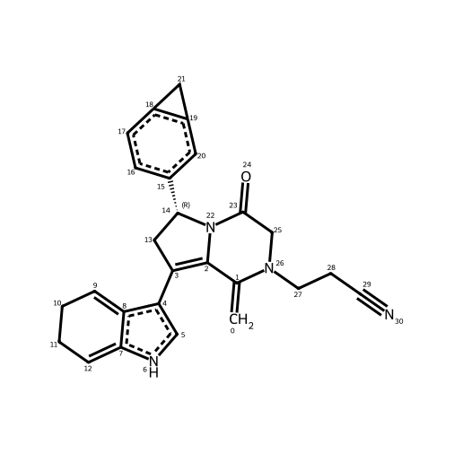 C=C1C2=C(c3c[nH]c4c3=CCCC=4)C[C@H](c3ccc4c(c3)C4)N2C(=O)CN1CCC#N